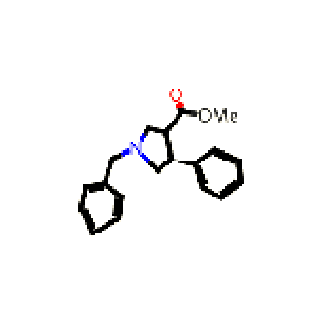 COC(=O)C1CN(Cc2ccccc2)C[C@@H]1c1ccccc1